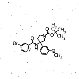 COc1cccc(C2(NC(=O)c3cc(Br)ccn3)CCN(C(=O)OC(C)(C)C)C2)c1